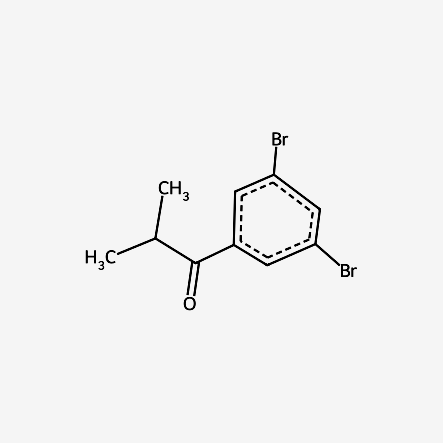 CC(C)C(=O)c1cc(Br)cc(Br)c1